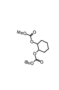 COC(=O)OC1CCCCC1OC(=O)OCC(C)C